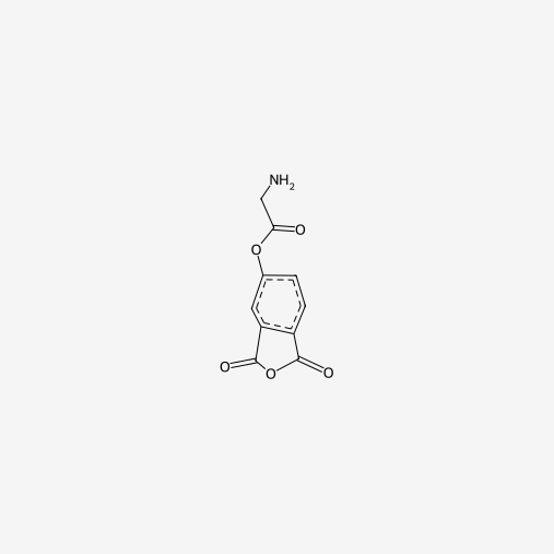 NCC(=O)Oc1ccc2c(c1)C(=O)OC2=O